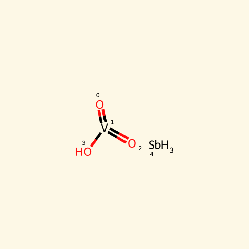 [O]=[V](=[O])[OH].[SbH3]